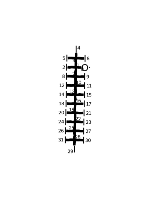 [O]C(I)(C(I)(I)I)C(I)(I)C(I)(I)C(I)(I)C(I)(I)C(I)(I)C(I)(I)C(I)(I)C(I)(I)I